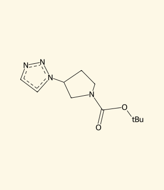 CC(C)(C)OC(=O)N1CCC(n2ccnn2)C1